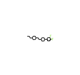 CCCC1CCC(CCC2CCC(C3=CC=C(F)C(F)C3)CC2)CC1